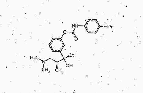 CC[C@](O)(c1cccc(OC(=O)Nc2ccc(C(C)C)cc2)c1)[C@@H](C)CN(C)C